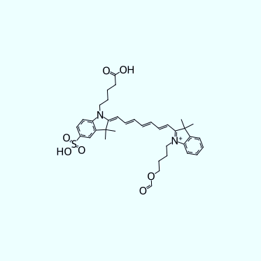 CC1(C)C(/C=C/C=C/C=C/C=C2/N(CCCCC(=O)O)c3ccc(S(=O)(=O)O)cc3C2(C)C)=[N+](CCCCOC=O)c2ccccc21